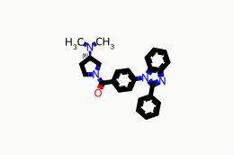 CN(C)[C@@H]1CCN(C(=O)c2ccc(-n3c(-c4ccccc4)nc4ccccc43)cc2)C1